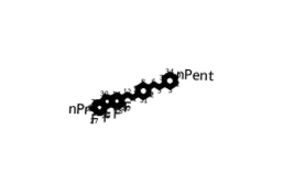 CCCCCC1CCC(CCC2CCC(CCc3cc4c(c(F)c3F)-c3c(cc(CCC)c(F)c3F)C4)CC2)CC1